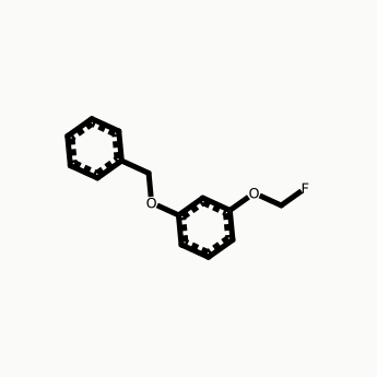 FCOc1cccc(OCc2ccccc2)c1